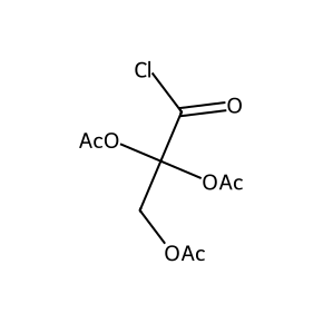 CC(=O)OCC(OC(C)=O)(OC(C)=O)C(=O)Cl